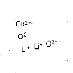 [Cu+2].[Li+].[Li+].[O-2].[O-2]